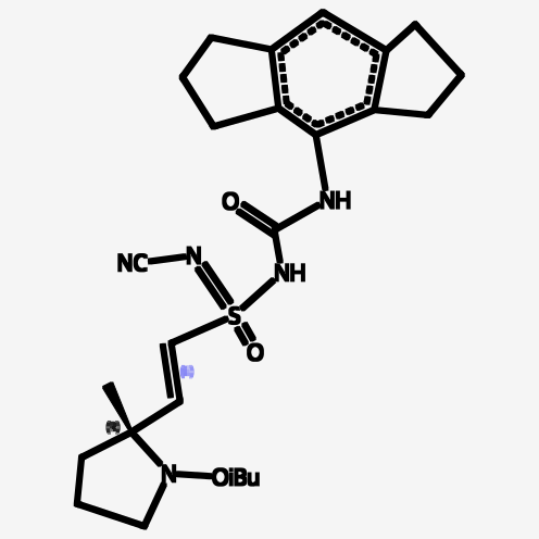 CC(C)CON1CCC[C@]1(C)/C=C/S(=O)(=NC#N)NC(=O)Nc1c2c(cc3c1CCC3)CCC2